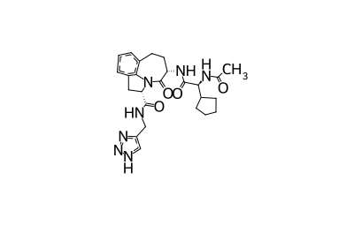 CC(=O)N[C@H](C(=O)N[C@H]1CCc2cccc3c2N(C1=O)[C@H](C(=O)NCc1c[nH]nn1)C3)C1CCCC1